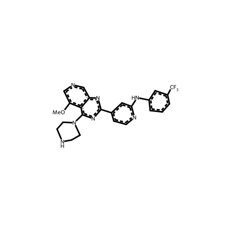 COc1cncc2nc(-c3ccnc(Nc4cccc(C(F)(F)F)c4)c3)nc(N3CCNCC3)c12